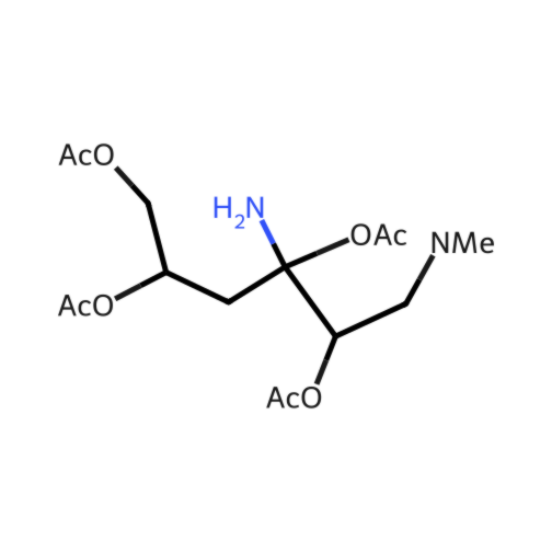 CNCC(OC(C)=O)C(N)(CC(COC(C)=O)OC(C)=O)OC(C)=O